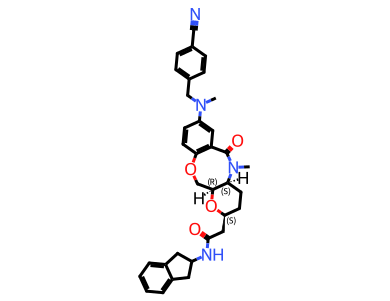 CN(Cc1ccc(C#N)cc1)c1ccc2c(c1)C(=O)N(C)[C@H]1CC[C@@H](CC(=O)NC3Cc4ccccc4C3)O[C@H]1CO2